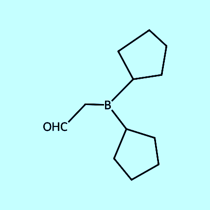 O=CCB(C1CCCC1)C1CCCC1